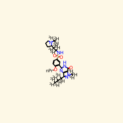 [2H]C([2H])([2H])N1CCCC1C([2H])([2H])C([2H])([2H])NS(=O)(=O)c1ccc(OCCC)c(-c2nc3c(C([2H])([2H])C([2H])([2H])C([2H])([2H])[2H])nn(C([2H])([2H])[2H])c3c(=O)[nH]2)c1